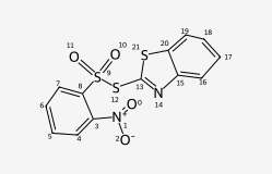 O=[N+]([O-])c1ccccc1S(=O)(=O)Sc1nc2ccccc2s1